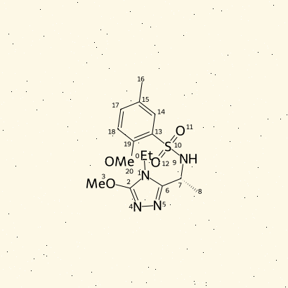 CCn1c(OC)nnc1[C@@H](C)NS(=O)(=O)c1cc(C)ccc1OC